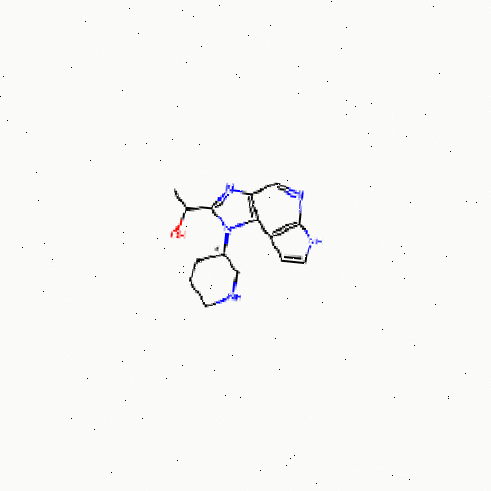 CC(O)c1nc2cnc3[nH]ccc3c2n1[C@@H]1CCCNC1